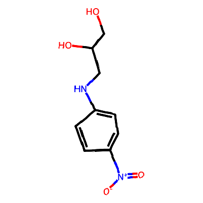 O=[N+]([O-])c1ccc(NCC(O)CO)cc1